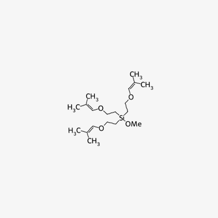 CO[Si](CCOC=C(C)C)(CCOC=C(C)C)CCOC=C(C)C